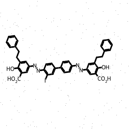 O=C(O)c1cc(/N=N/c2ccc(-c3ccc(/N=N/c4cc(CCc5ccccc5)c(O)c(C(=O)O)c4)c(I)c3)cc2)cc(CCc2ccccc2)c1O